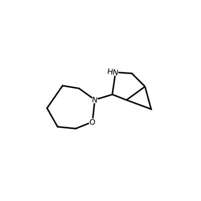 C1CCON(C2NCC3C[C]32)CC1